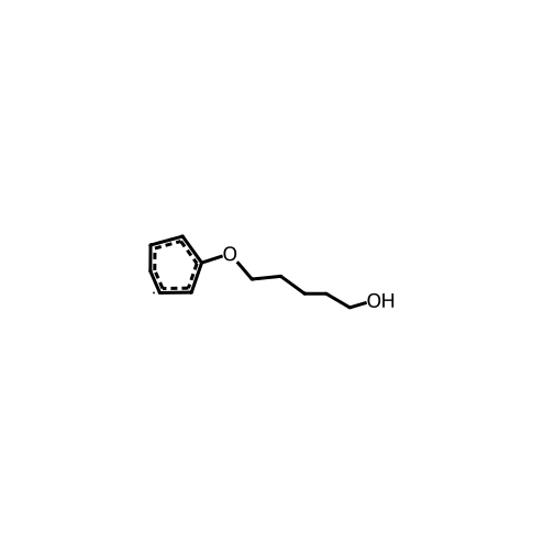 OCCCCCOc1c[c]ccc1